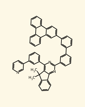 CC1(C)c2ccccc2-c2nc(-c3cccc(-c4cccc(-c5ccc6c7ccccc7c7ccccc7c6c5)c4)c3)nc(-c3cccc(-c4cccnc4)c3)c21